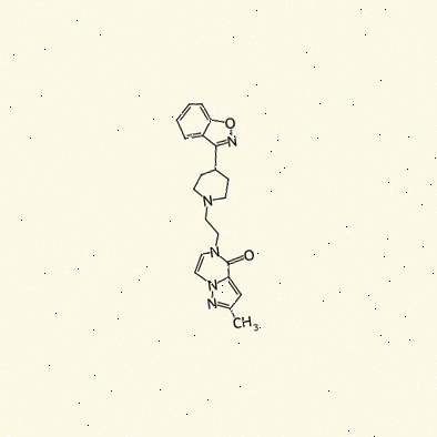 Cc1cc2c(=O)n(CCN3CCC(c4noc5ccccc45)CC3)ccn2n1